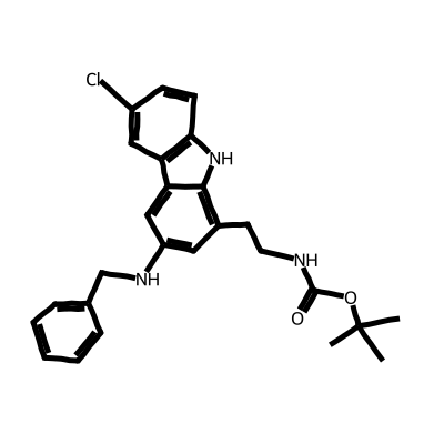 CC(C)(C)OC(=O)NCCc1cc(NCc2ccccc2)cc2c1[nH]c1ccc(Cl)cc12